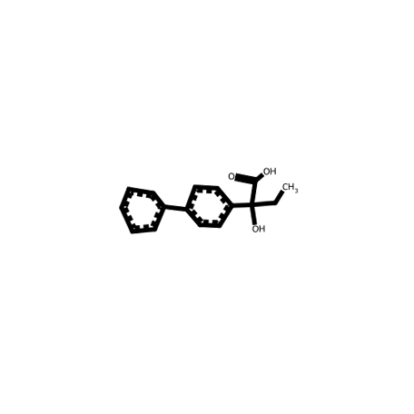 CCC(O)(C(=O)O)c1ccc(-c2ccccc2)cc1